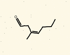 CCCC=C(C)CC=O